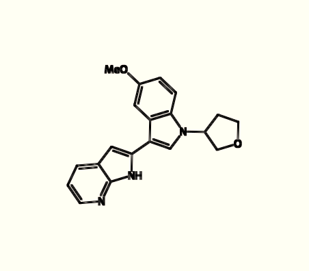 COc1ccc2c(c1)c(-c1cc3cccnc3[nH]1)cn2C1CCOC1